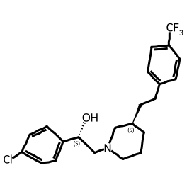 O[C@H](CN1CCC[C@H](CCc2ccc(C(F)(F)F)cc2)C1)c1ccc(Cl)cc1